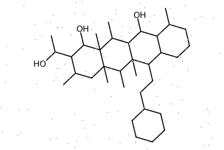 CC(O)C1C(C)CC2(C)C(C)C3(C)C(CCC4CCCCC4)C4CCCC(C)C4C(O)C3C(C)C2(C)C1O